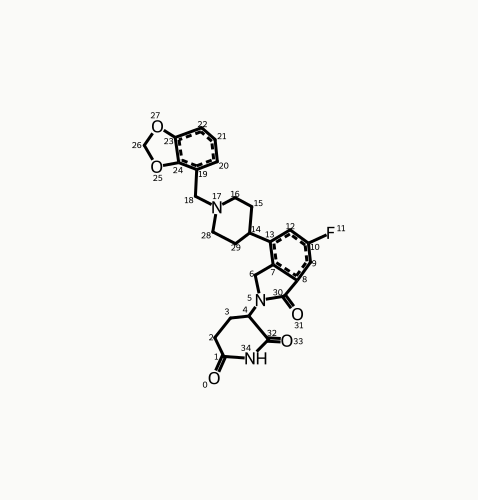 O=C1CCC(N2Cc3c(cc(F)cc3C3CCN(Cc4cccc5c4OCO5)CC3)C2=O)C(=O)N1